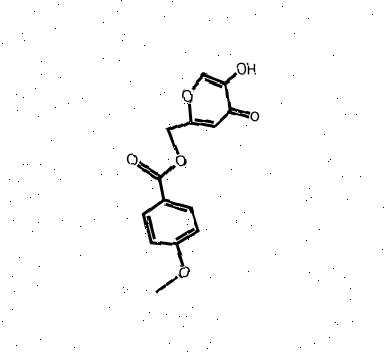 COc1ccc(C(=O)OCc2cc(=O)c(O)co2)cc1